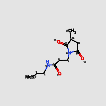 CNCCNC(=O)CCN1C(=O)CC(C)C1=O